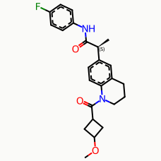 COC1CC(C(=O)N2CCCc3cc([C@H](C)C(=O)Nc4ccc(F)cc4)ccc32)C1